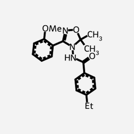 CCc1ccc(C(=O)NN2C(c3ccccc3OC)=NOC2(C)C)cc1